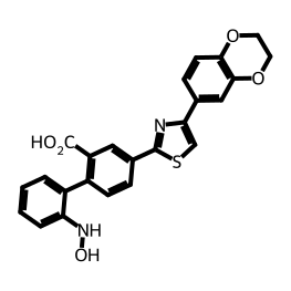 O=C(O)c1cc(-c2nc(-c3ccc4c(c3)OCCO4)cs2)ccc1-c1ccccc1NO